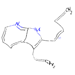 C=C/C=C\c1[nH]c2ncccc2c1C=C